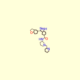 O=C(N[C@@H]1CCCN(Cc2ccccn2)C1)c1ccc2[nH]nc(-c3ccc4c(c3)CCO4)c2c1